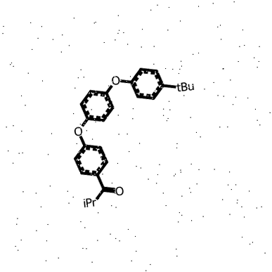 CC(C)C(=O)c1ccc(Oc2ccc(Oc3ccc(C(C)(C)C)cc3)cc2)cc1